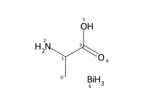 CC(N)C(=O)O.[BiH3]